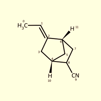 CC=C1C[C@@H]2C[C@H]1CC2C#N